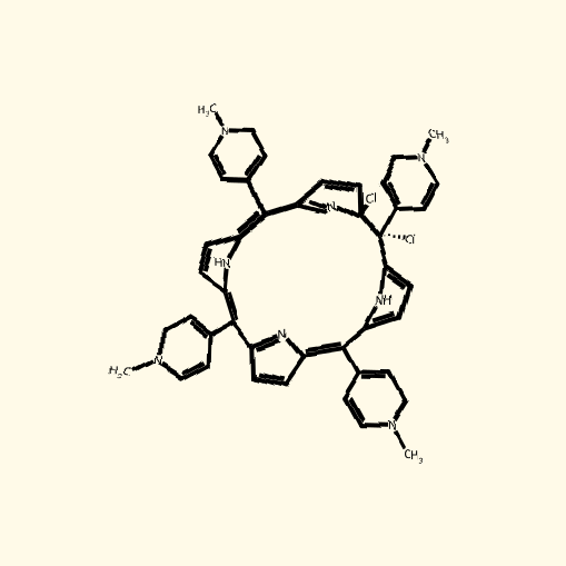 CN1C=CC(C2=C3C=CC(=N3)C(C3=CCN(C)C=C3)=c3ccc([nH]3)=C(C3=CCN(C)C=C3)C3=N[C@](Cl)(C=C3)[C@@](Cl)(C3=CCN(C)C=C3)c3ccc2[nH]3)=CC1